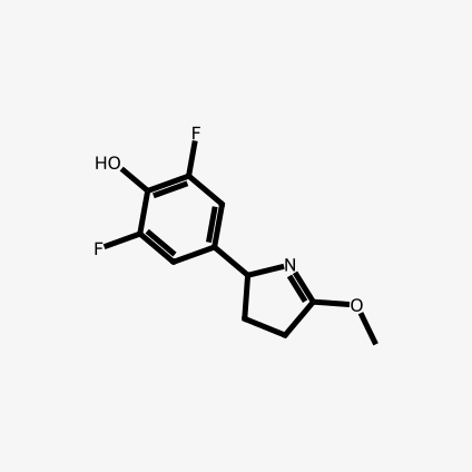 COC1=NC(c2cc(F)c(O)c(F)c2)CC1